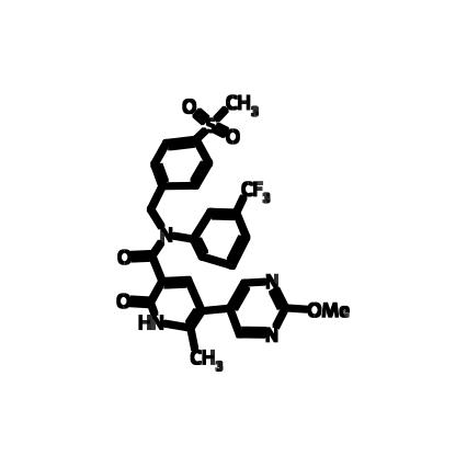 COc1ncc(-c2cc(C(=O)N(Cc3ccc(S(C)(=O)=O)cc3)c3cccc(C(F)(F)F)c3)c(=O)[nH]c2C)cn1